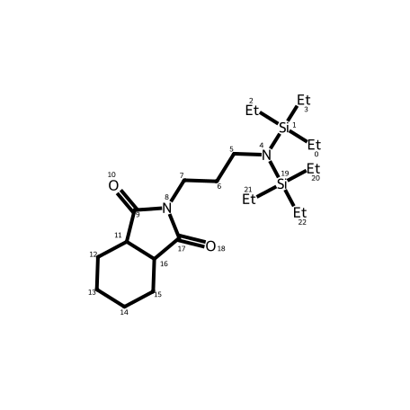 CC[Si](CC)(CC)N(CCCN1C(=O)C2CCCCC2C1=O)[Si](CC)(CC)CC